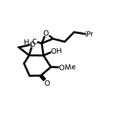 COC1C(=O)CCC2(CO2)C1(O)C1(C)OC1CCC(C)C